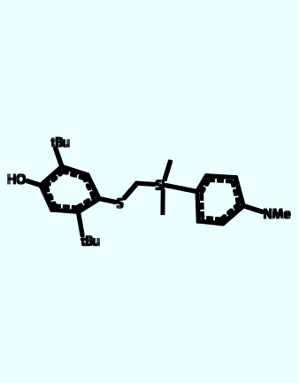 CNc1ccc([Si](C)(C)CSc2cc(C(C)(C)C)c(O)cc2C(C)(C)C)cc1